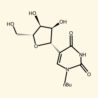 CCCCn1cc([C@@H]2O[C@H](CO)[C@@H](O)[C@H]2O)c(=O)[nH]c1=O